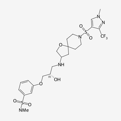 CNS(=O)(=O)c1cccc(OC[C@@H](O)CNC2COC3(CCN(S(=O)(=O)c4cn(C)nc4C(F)(F)F)CC3)C2)c1